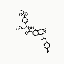 CCS(=O)(=O)c1ccc(C(CO)NC(=O)c2ccc3c(OCc4ccc(F)cc4)nc(C)cc3c2)cc1